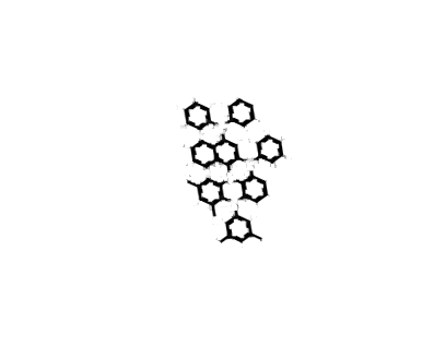 Cc1cc(C)cc(N2c3cccc4c3B(c3cc(C)cc(C)c32)c2c(cc(N(c3ccccc3)c3ccccc3)c3ccccc23)N4c2ccccc2)c1